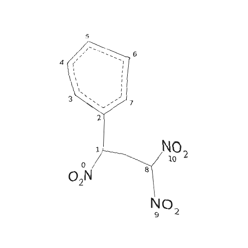 O=[N+]([O-])C(c1ccccc1)C([N+](=O)[O-])[N+](=O)[O-]